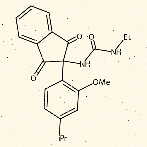 CCNC(=O)NC1(c2ccc(C(C)C)cc2OC)C(=O)c2ccccc2C1=O